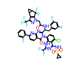 N=C(NS(=O)(=O)C1CC1)c1c(Cl)ccc(-n2c(C(Cc3cc(F)cc(F)c3)NC(=O)Cn3nc(C(F)(F)F)c4c3C(F)(F)C3CC43)nc3nc(-c4ccccc4F)ccc3c2=O)c1NCC(F)F